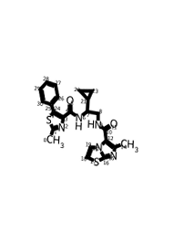 Cc1nc(C(=O)NC(CNC(=O)c2c(C)nc3sccn23)C2CC2)c(-c2ccccc2)s1